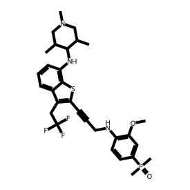 COc1cc(P(C)(C)=O)ccc1NCC#Cc1sc2c(NC3C(C)CN(C)CC3C)cccc2c1CC(F)(F)F